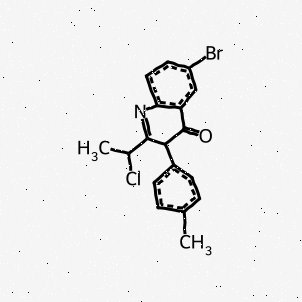 Cc1ccc(C2C(=O)c3cc(Br)ccc3N=C2C(C)Cl)cc1